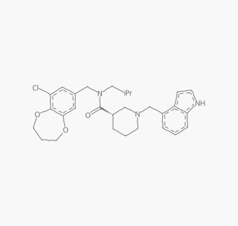 CC(C)CN(Cc1cc(Cl)c2c(c1)OCCCO2)C(=O)[C@@H]1CCCN(Cc2cccc3[nH]ccc23)C1